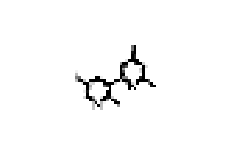 Cc1cc(C)nc(-c2cc(I)cnc2C)c1